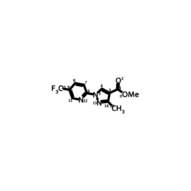 COC(=O)c1cn(-c2ccc(C(F)(F)F)cn2)nc1C